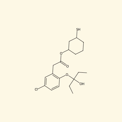 CCC(O)(CC)Oc1ccc(Cl)cc1CC(=O)OC1CCCC(S)C1